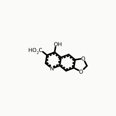 O=C(O)c1cnc2cc3c(cc2c1O)OCO3